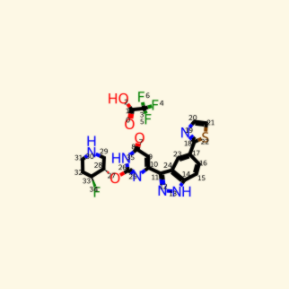 O=C(O)C(F)(F)F.O=c1cc(-c2n[nH]c3ccc(-c4nccs4)cc23)nc(O[C@H]2CNCC[C@@H]2F)[nH]1